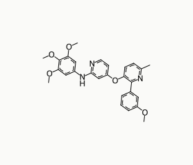 COc1cccc(-c2nc(C)ccc2Oc2ccnc(Nc3cc(OC)c(OC)c(OC)c3)c2)c1